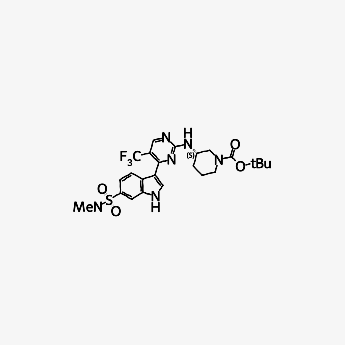 CNS(=O)(=O)c1ccc2c(-c3nc(N[C@H]4CCCN(C(=O)OC(C)(C)C)C4)ncc3C(F)(F)F)c[nH]c2c1